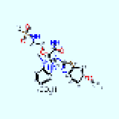 CN1c2ccc(C(=O)O)cc2NC1(Nc1nc2ccc(OC(F)(F)F)cc2s1)C(OCCNS(C)(=O)=O)C(N)=O